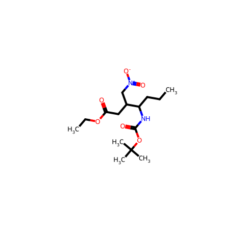 CCCC(NC(=O)OC(C)(C)C)C(CC(=O)OCC)C[N+](=O)[O-]